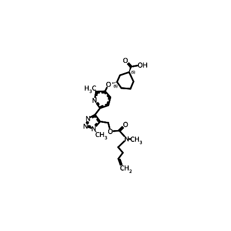 C=CCCN(C)C(=O)OCc1c(-c2ccc(O[C@H]3CCC[C@H](C(=O)O)C3)c(C)n2)nnn1C